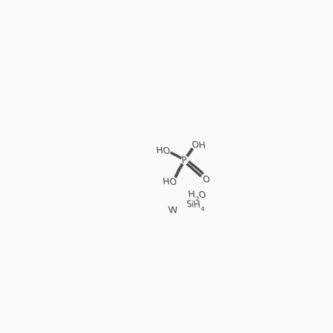 O.O=P(O)(O)O.[SiH4].[W]